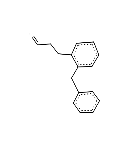 O=[C]CCc1ccccc1Cc1ccccc1